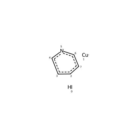 I.[Cu].c1ccncc1